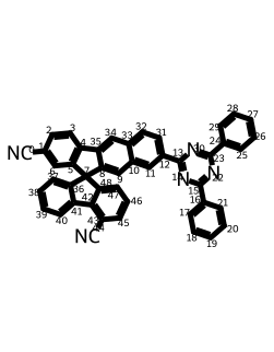 N#Cc1ccc2c(c1)C1(c3cc4cc(-c5nc(-c6ccccc6)nc(-c6ccccc6)n5)ccc4cc3-2)c2ccccc2-c2c(C#N)cccc21